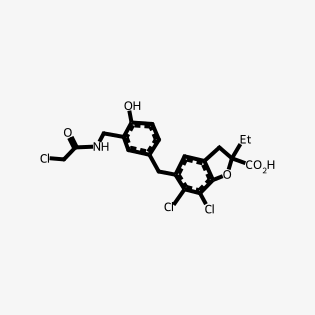 CCC1(C(=O)O)Cc2cc(Cc3ccc(O)c(CNC(=O)CCl)c3)c(Cl)c(Cl)c2O1